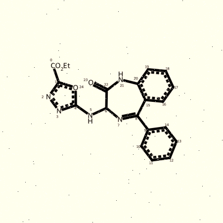 CCOC(=O)c1nnc(NC2N=C(c3ccccc3)c3ccccc3NC2=O)o1